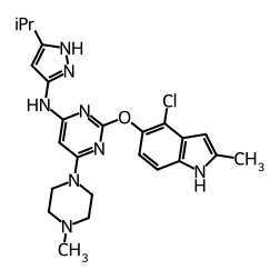 Cc1cc2c(Cl)c(Oc3nc(Nc4cc(C(C)C)[nH]n4)cc(N4CCN(C)CC4)n3)ccc2[nH]1